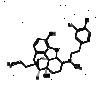 C=CCN1CC[C@]23c4c5ccc(O)c4OC2C(N(C)CCc2ccc(Cl)c(Cl)c2)CC[C@@]3(O)[C@H]1C5